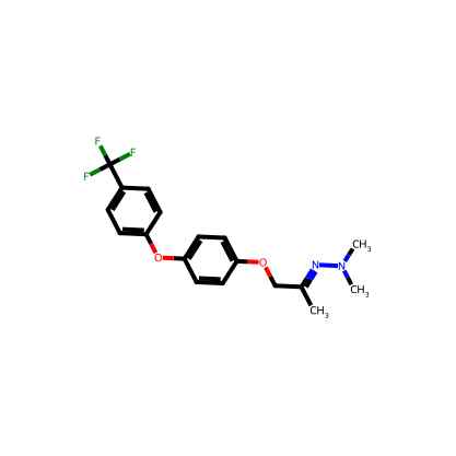 CC(COc1ccc(Oc2ccc(C(F)(F)F)cc2)cc1)=NN(C)C